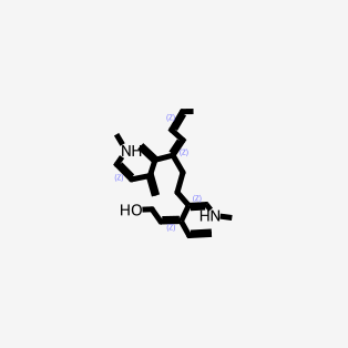 C=CC(=C/CO)/C(=C\NC)CC/C(=C/C=C\C)C(=C)C(=C)/C=C\NC